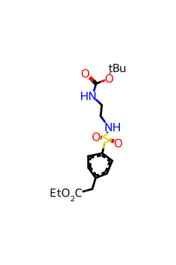 CCOC(=O)Cc1ccc(S(=O)(=O)NCCNC(=O)OC(C)(C)C)cc1